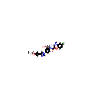 CN1CC(C(=O)NC23CCC(n4cnc(C5CC(OC(F)(F)F)C5)c4)(CC2)C[C@@H]3O)Oc2ccc(Cl)cc21